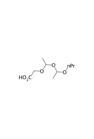 CCCOC(C)OC(C)OCC(=O)O